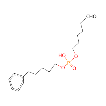 O=[C]CCCCCOP(=O)(O)OCCCCCc1ccccc1